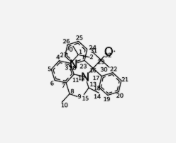 CC(C)c1cccc(C(C)C)c1N(C(C)C)C(c1ccccc1)(c1ccccn1)C(C)(C)[O]